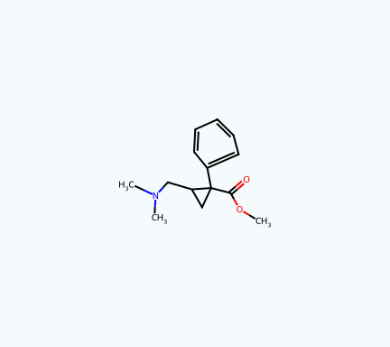 COC(=O)C1(c2ccccc2)CC1CN(C)C